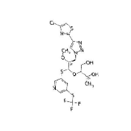 CO[C@@H](Cn1cc(-c2nc(Cl)cs2)nn1)C(OC(CO)[C@@H](C)O)Sc1cncc(SC(F)(F)F)c1